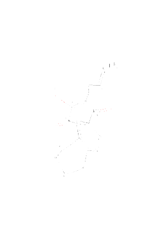 C=CCC1=C(O)C(=O)c2c(ccc3c2CCCC3)C1=O